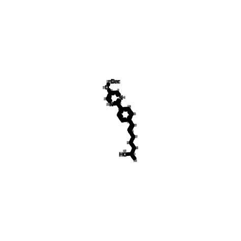 CCCCCCCCCCOc1cnc(-c2ccc(/C=C/CCCC(C)O)cc2)nc1